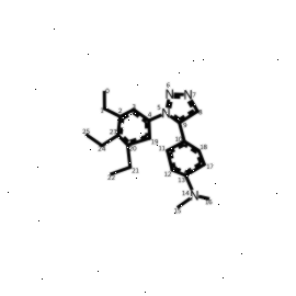 CCc1cc(-n2nncc2-c2ccc(N(C)C)cc2)cc(CC)c1CC